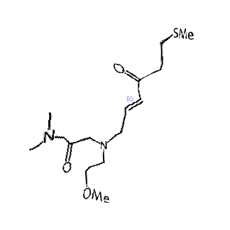 COCCN(C/C=C/C(=O)CCSC)CC(=O)N(C)C